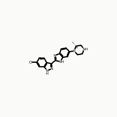 C[C@@H]1CNCCN1c1ccc2nc(-c3n[nH]c4cc(Cl)ccc34)[nH]c2c1